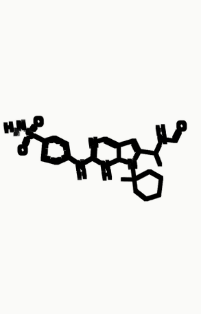 CC(NC=O)C1=CC2=CN=C(Nc3ccc(S(N)(=O)=O)cc3)NC2N1C1(C)CCCCC1